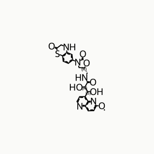 COc1ccc2nccc([C@H](O)[C@@H](O)C(=O)NC[C@@H]3CN(c4ccc5c(c4)NCC(=O)S5)C(=O)O3)c2n1